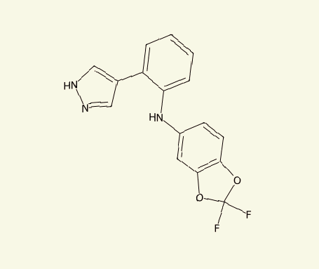 FC1(F)Oc2ccc(Nc3ccccc3-c3cn[nH]c3)cc2O1